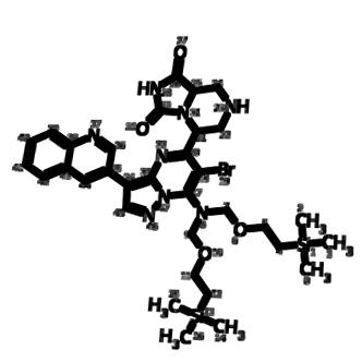 C[Si](C)(C)CCOCN(COCC[Si](C)(C)C)c1c(Br)c(C2CNCC3C(=O)NC(=O)N32)nc2c(-c3cnc4ccccc4c3)cnn12